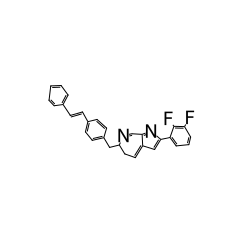 Fc1cccc(C2=CC3=CCC(Cc4ccc(/C=C/c5ccccc5)cc4)N=CC3=N2)c1F